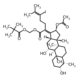 CC(=O)O[C@H]1C[C@@]2(C)[C@H](C[C@@H](O)[C@@H]3[C@@]4(C)CC[C@@H](O)[C@@H](C)C4CC[C@@]32C)C1=C(CCC(I)=C(C)C)C(=O)OCOC(=O)C(C)(C)C